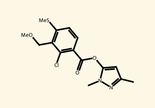 COCc1c(SC)ccc(C(=O)Oc2cc(C)nn2C)c1Cl